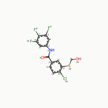 O=C(Nc1cc(F)c(F)c(F)c1)c1ccc(Cl)c(SCO)c1